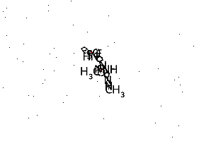 CN1CCN(c2ccc(Nc3nc(-c4ccc(F)c(NC(=O)c5cc6c(s5)CC5CCC6C5)c4)cn(C)c3=O)cc2)CC1